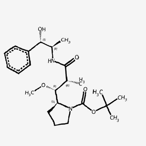 CO[C@H]([C@@H](C)C(=O)N[C@H](C)[C@@H](O)c1ccccc1)[C@@H]1CCCN1C(=O)OC(C)(C)C